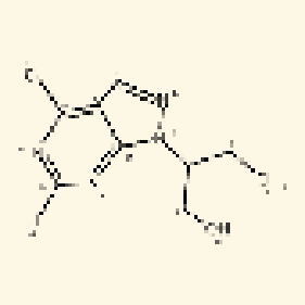 CCC(CO)n1ncc2c(Cl)nc(Cl)nc21